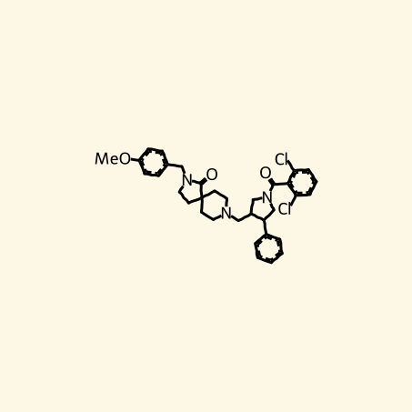 COc1ccc(CN2CCC3(CCN(CC4CN(C(=O)c5c(Cl)cccc5Cl)CC4c4ccccc4)CC3)C2=O)cc1